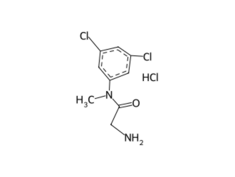 CN(C(=O)CN)c1cc(Cl)cc(Cl)c1.Cl